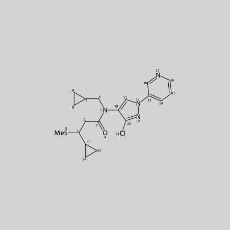 CSC(CC(=O)N(CC1CC1)c1cn(-c2cccnc2)nc1Cl)C1CC1